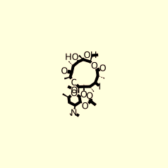 CC[C@H]1OC(=O)[C@H](C)C(I)[C@H](C)[C@@H](O[C@@H]2O[C@H](C)C[C@H](N(C)C)[C@H]2OC(C)=O)[C@](C)(OC)C[C@@H](C)C(=O)[C@H](C)[C@@H](O)[C@]1(C)O